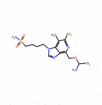 Cc1nc(COC(C)N)c2ncn(CCCCS(N)(=O)=O)c2c1C